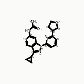 CC(=O)Nc1cc2c(cn1)c(C1CC1)nn2-c1cccc([C@H]2CCOC2)n1